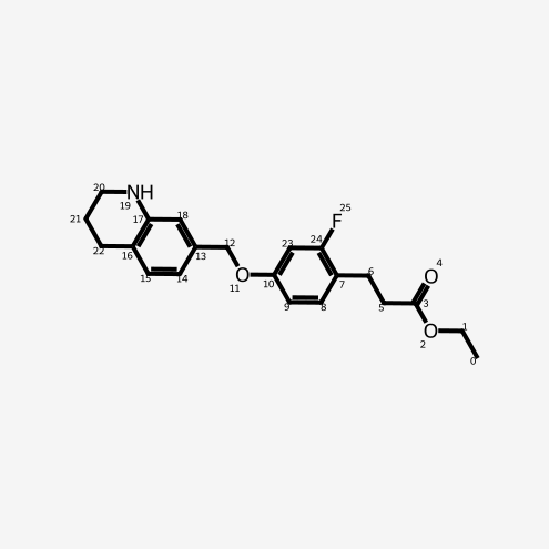 CCOC(=O)CCc1ccc(OCc2ccc3c(c2)NCCC3)cc1F